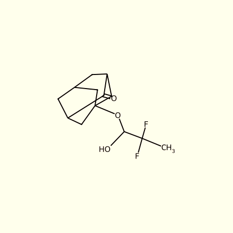 CC(F)(F)C(O)OC12CC3CC(C1)C(=O)C(C3)C2